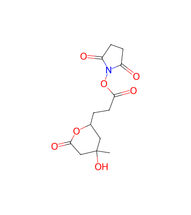 CC1(O)CC(=O)OC(CCC(=O)ON2C(=O)CCC2=O)C1